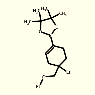 CCOCC1(CC)CC=C(B2OC(C)(C)C(C)(C)O2)CC1